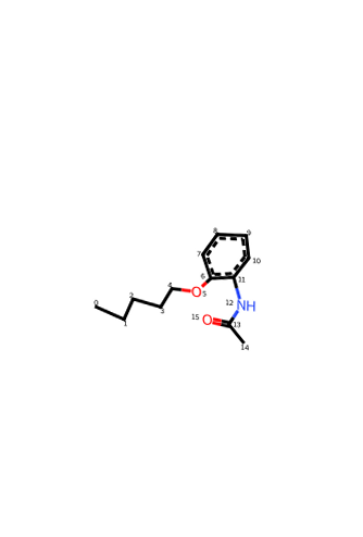 CCCCCOc1ccccc1NC(C)=O